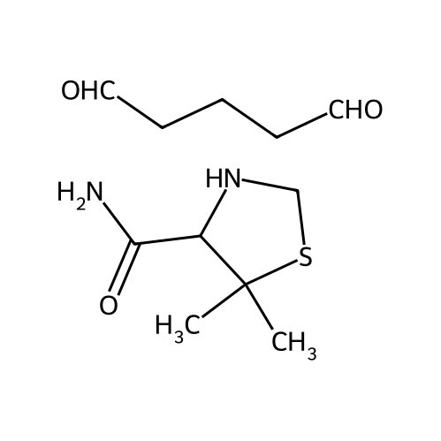 CC1(C)SCNC1C(N)=O.O=CCCCC=O